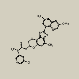 COc1cnc2c(-c3nc4c(C)cc5c(c4s3)OCC(OC(=O)N(C)c3cncc(Cl)c3)O5)cc(C)cc2n1